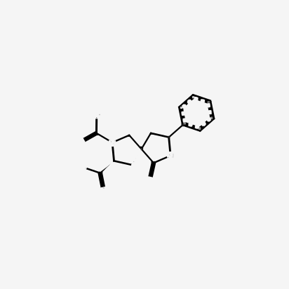 O=C(O)[C@@H]1C[C@@]2(CC(c3ccccc3)NC2=O)CN1C(=O)O